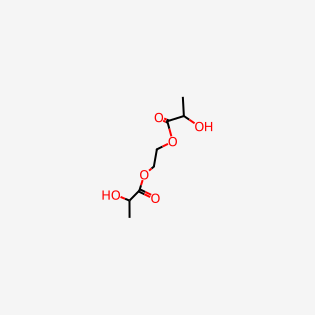 CC(O)C(=O)OCCOC(=O)C(C)O